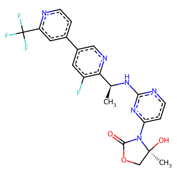 C[C@H](Nc1nccc(N2C(=O)OC[C@]2(C)O)n1)c1ncc(-c2ccnc(C(F)(F)F)c2)cc1F